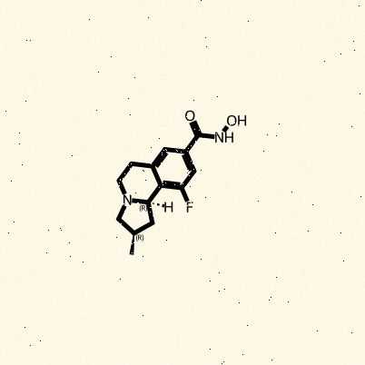 C[C@@H]1C[C@@H]2c3c(F)cc(C(=O)NO)cc3CCN2C1